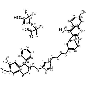 COc1cc2c(cc1OC)C(c1ccccc1)N(CCc1cn(CCCCC3=CC4Cc5nc6cc(Cl)ccc6c(N)c5C(C3)C4)nn1)CC2.O=C(O)C(F)(F)F.O=C(O)C(F)(F)F